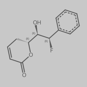 O=C1C=CC[C@H]([C@@H](O)[C@H](F)c2ccccc2)O1